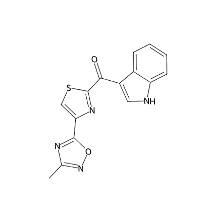 Cc1noc(-c2csc(C(=O)c3c[nH]c4ccccc34)n2)n1